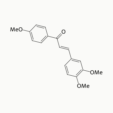 COc1ccc(C(=O)C=Cc2ccc(OC)c(OC)c2)cc1